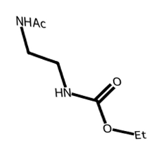 CCOC(=O)NCCNC(C)=O